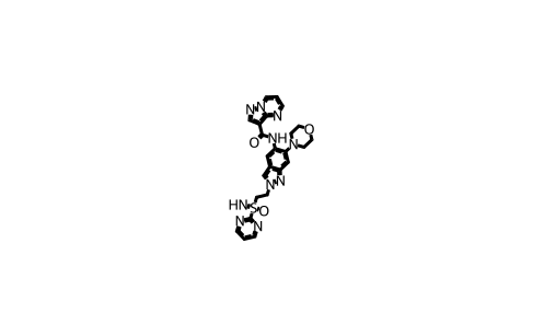 N=S(=O)(CCn1cc2cc(NC(=O)c3cnn4cccnc34)c(N3CCOCC3)cc2n1)c1ncccn1